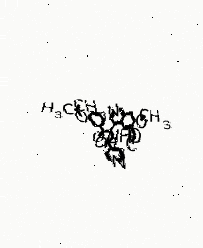 COc1cc2cncc(C(NC(=O)c3ccncc3)C(=O)c3cccc(OC(C)C)c3)c2cc1OC